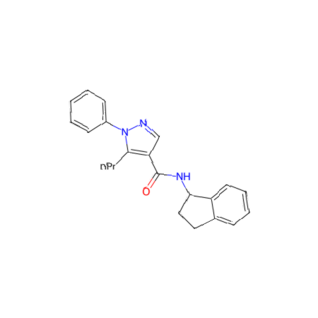 CCCc1c(C(=O)NC2CCc3ccccc32)cnn1-c1ccccc1